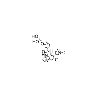 O=C(Nc1ccnc(OC[C@H](O)CO)c1)N1c2nc(-c3cnn(C4CC4)c3)c(Cl)cc2N2CC[C@H]1C2